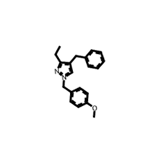 CCc1nn(Cc2ccc(OC)cc2)cc1Cc1ccccc1